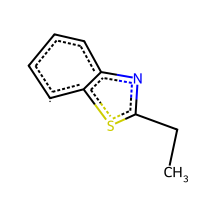 CCc1nc2ccc[c]c2s1